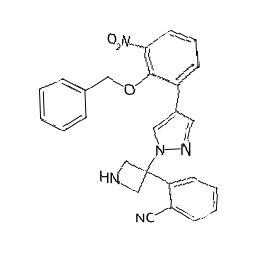 N#Cc1ccccc1C1(n2cc(-c3cccc([N+](=O)[O-])c3OCc3ccccc3)cn2)CNC1